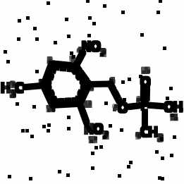 Cc1cc([N+](=O)[O-])c(COP(C)(=O)O)c([N+](=O)[O-])c1